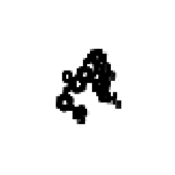 Cc1nccn1Cc1cc2c(c(-c3cn(C)nc3C(F)(F)F)c1)CCN(Cc1cccc(-c3ccsc3)c1)C2=O